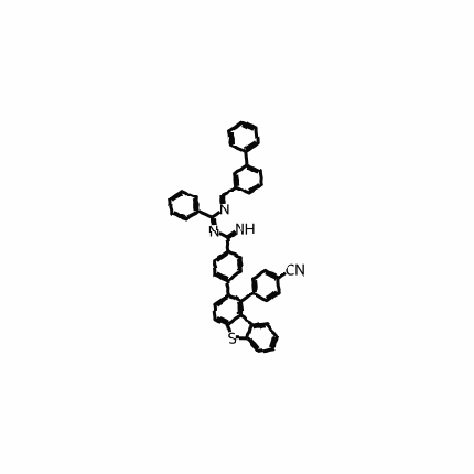 N#Cc1ccc(-c2c(-c3ccc(C(=N)/N=C(\N=C\c4cccc(-c5ccccc5)c4)c4ccccc4)cc3)ccc3sc4ccccc4c23)cc1